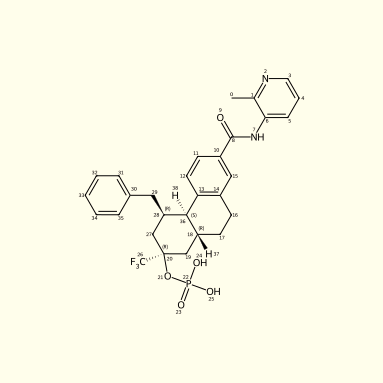 Cc1ncccc1NC(=O)c1ccc2c(c1)CC[C@@H]1C[C@](OP(=O)(O)O)(C(F)(F)F)C[C@@H](Cc3ccccc3)[C@@H]21